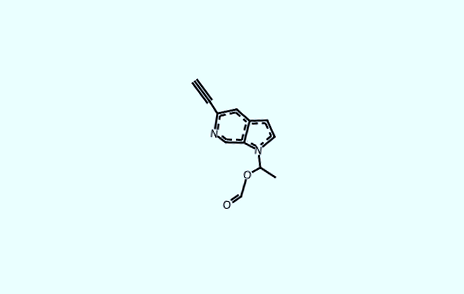 C#Cc1cc2ccn(C(C)OC=O)c2cn1